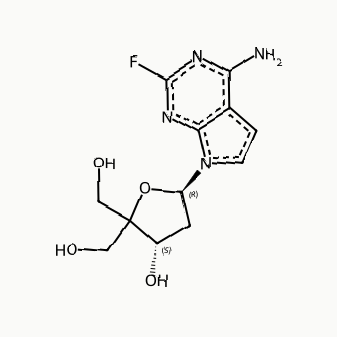 Nc1nc(F)nc2c1ccn2[C@H]1C[C@H](O)C(CO)(CO)O1